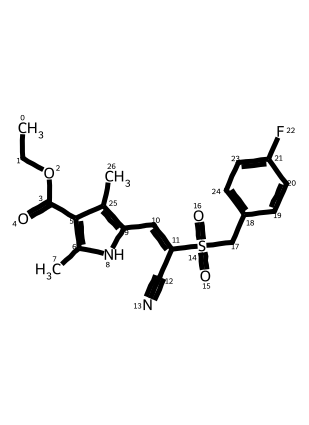 CCOC(=O)c1c(C)[nH]c(C=C(C#N)S(=O)(=O)Cc2ccc(F)cc2)c1C